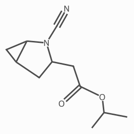 CC(C)OC(=O)CC1CC2CC2N1C#N